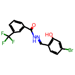 O=C(N/N=C/c1ccc(Br)cc1O)c1cccc(C(F)(F)F)c1